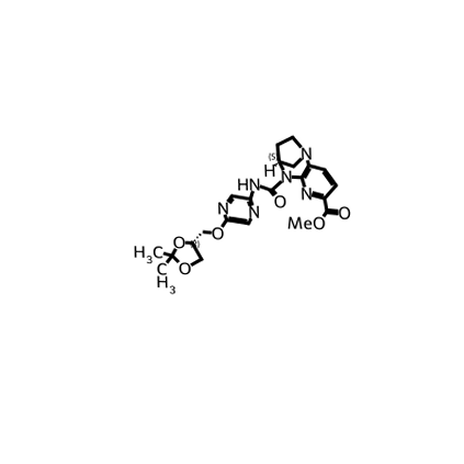 COC(=O)c1ccc2c(n1)N(C(=O)Nc1cnc(OC[C@@H]3COC(C)(C)O3)cn1)[C@H]1CCN2C1